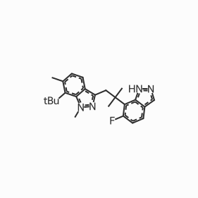 Cc1ccc2c(CC(C)(C)c3c(F)ccc4cn[nH]c34)nn(C)c2c1C(C)(C)C